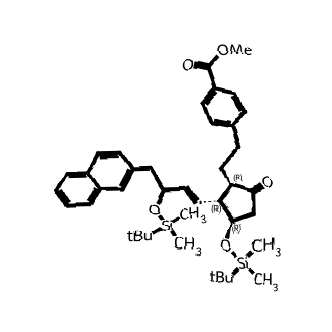 COC(=O)c1ccc(CC[C@H]2C(=O)C[C@@H](O[Si](C)(C)C(C)(C)C)[C@@H]2C=CC(Cc2ccc3ccccc3c2)O[Si](C)(C)C(C)(C)C)cc1